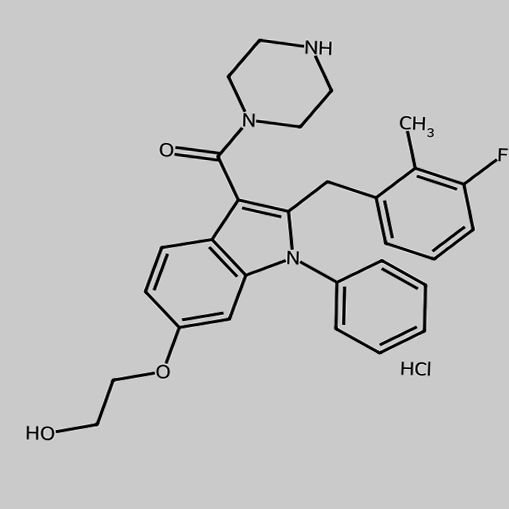 Cc1c(F)cccc1Cc1c(C(=O)N2CCNCC2)c2ccc(OCCO)cc2n1-c1ccccc1.Cl